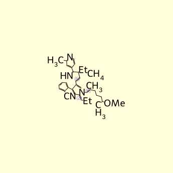 C.CC/C=C1/C=C(c2ccccc2C#N)C(/C=C/C(CC)C(=N)c2ccnc(C)c2)=CN1/C=C(\C)CCCC(C)OC